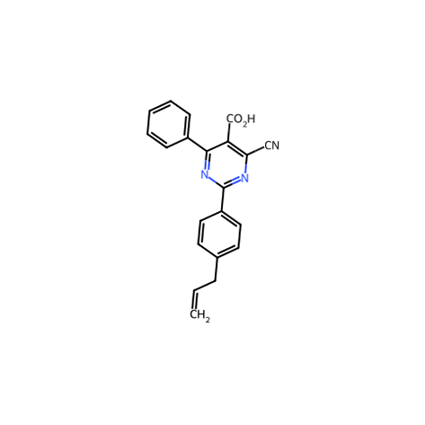 C=CCc1ccc(-c2nc(C#N)c(C(=O)O)c(-c3ccccc3)n2)cc1